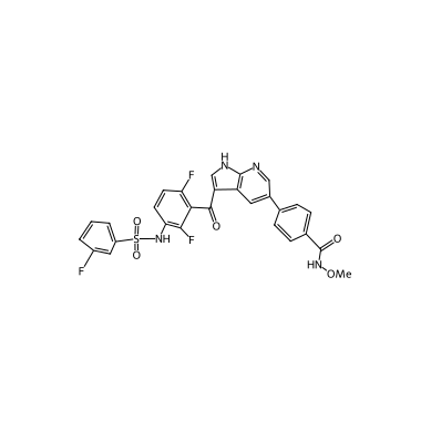 CONC(=O)c1ccc(-c2cnc3[nH]cc(C(=O)c4c(F)ccc(NS(=O)(=O)c5cccc(F)c5)c4F)c3c2)cc1